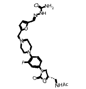 CC(=O)NC[C@H]1CN(c2ccc(N3CCN(Cc4ccc(/C=N/NC(N)=O)o4)CC3)c(F)c2)C(=O)O1